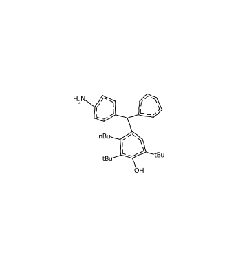 CCCCc1c(C(c2ccccc2)c2ccc(N)cc2)cc(C(C)(C)C)c(O)c1C(C)(C)C